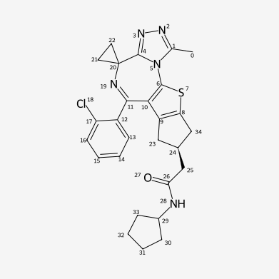 Cc1nnc2n1-c1sc3c(c1C(c1ccccc1Cl)=NC21CC1)C[C@H](CC(=O)NC1CCCC1)C3